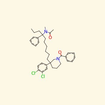 CCCC(CCCCCCC1(c2ccc(Cl)c(Cl)c2)CCCN(C(=O)c2ccccc2)C1)(c1ccccc1)N(C)C(C)=O